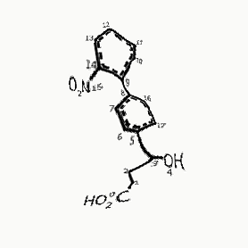 O=C(O)CCC(O)c1ccc(-c2ccccc2[N+](=O)[O-])cc1